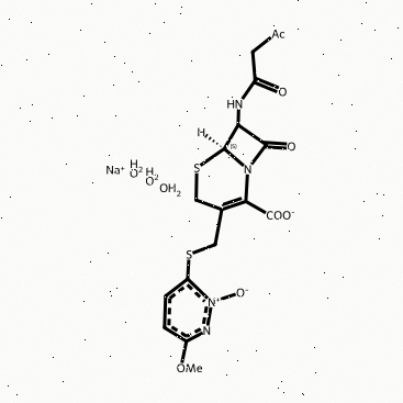 COc1ccc(SCC2=C(C(=O)[O-])N3C(=O)C(NC(=O)CC(C)=O)[C@@H]3SC2)[n+]([O-])n1.O.O.O.[Na+]